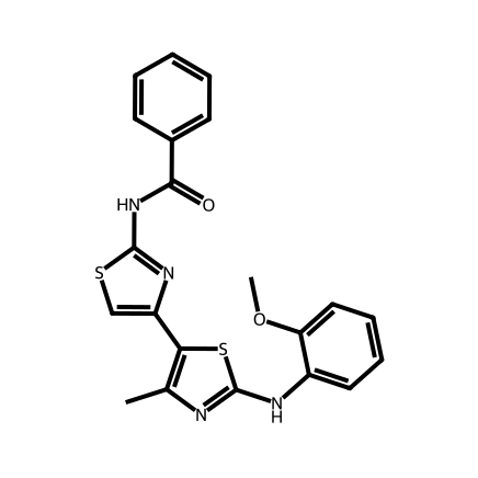 COc1ccccc1Nc1nc(C)c(-c2csc(NC(=O)c3ccccc3)n2)s1